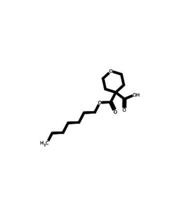 CCCCCCCOC(=O)C1(C(=O)O)CCOCC1